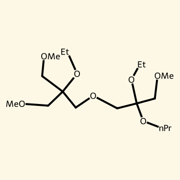 CCCOC(COC)(COCC(COC)(COC)OCC)OCC